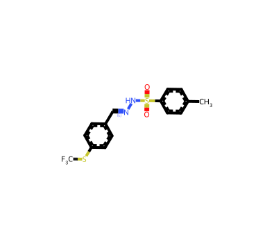 Cc1ccc(S(=O)(=O)N/N=C/c2ccc(SC(F)(F)F)cc2)cc1